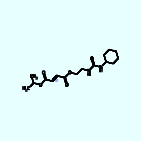 CC(C)OC(=O)/C=C/C(=O)OCCNC(=O)NC1CCCCC1